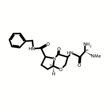 CN[C@@H](N)C(=O)NC1CO[C@H]2CCC(C(=O)NCc3ccccc3)N2C1=O